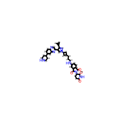 O=C1CCC(N2C(=O)c3ccc(NCCCC4CC(n5cc(-c6cnc7ccc(C8CCNCC8)cc7n6)c(C6CC6)n5)C4)cc3C2=O)C(=O)N1